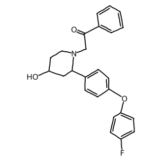 O=C(CN1CCC(O)CC1c1ccc(Oc2ccc(F)cc2)cc1)c1ccccc1